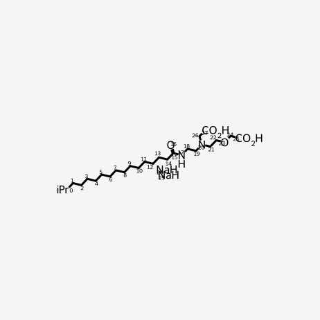 CC(C)CCCCCCCCCCCCCCC(=O)NCCN(CCOCC(=O)O)CC(=O)O.[NaH].[NaH]